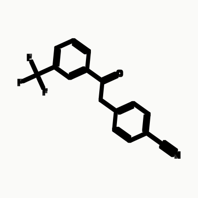 N#Cc1ccc(CC(=O)c2cccc(C(F)(F)F)c2)cc1